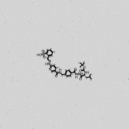 CC(C)C[C@H](NC(=O)OC(C)(C)C)C(=O)NNC(=O)c1ccc(CNC(=O)c2ccc(NN=Cc3ccccc3S(=O)(=O)O)nc2)cc1